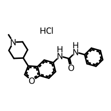 CN1CCC(c2coc3ccc(NC(=O)Nc4ccccc4)cc23)CC1.Cl